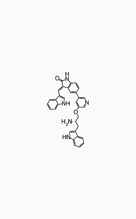 N[C@H](COc1cncc(-c2ccc3c(c2)/C(=C\c2c[nH]c4ccccc24)C(=O)N3)c1)Cc1c[nH]c2ccccc12